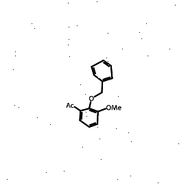 COc1cccc(C(C)=O)c1OCc1ccccc1